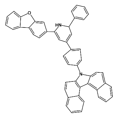 C1=C(c2ccc(-n3c4ccc5ccccc5c4c4c5ccccc5ccc43)cc2)C=C(c2ccc3c(c2)oc2ccccc23)NC1c1ccccc1